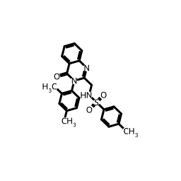 Cc1ccc(S(=O)(=O)NCc2nc3ccccc3c(=O)n2-c2ccc(C)cc2C)cc1